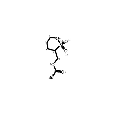 CCC(C)C(=O)OCC1CCCOS1(=O)=O